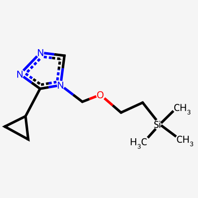 C[Si](C)(C)CCOCn1cnnc1C1CC1